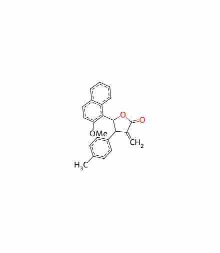 C=C1C(=O)OC(c2c(OC)ccc3ccccc23)C1c1ccc(C)cc1